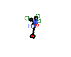 Cc1c(C(=O)NCCCCCCC23CC4CC(CC(C4)C2)C3)nn(-c2ccc(Cl)cc2Cl)c1-c1ccc(Cl)cc1